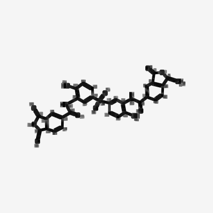 C=C1OC(=O)c2cc(C(=O)Nc3cc(S(=O)(=O)c4ccc(O)c(NC(=O)c5ccc6c(c5)C(=O)OC6=O)c4)ccc3O)ccc21